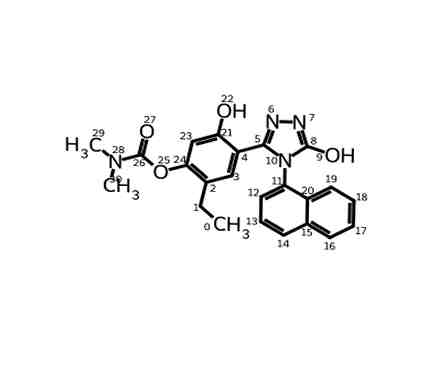 CCc1cc(-c2nnc(O)n2-c2cccc3ccccc23)c(O)cc1OC(=O)N(C)C